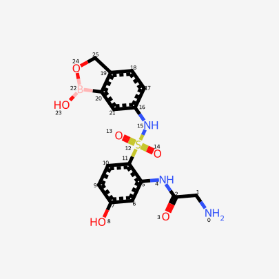 NCC(=O)Nc1cc(O)ccc1S(=O)(=O)Nc1ccc2c(c1)B(O)OC2